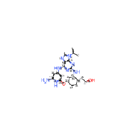 CC(C)n1cnc2c(Nc3cc(N)[nH]c(=O)c3)nc(N[C@H]3CCCC[C@H]3CCO)nc21